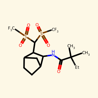 CCC(C)(C)C(=O)NC1C2CCC(C2)C1C(S(=O)(=O)C(F)(F)F)S(=O)(=O)C(F)(F)F